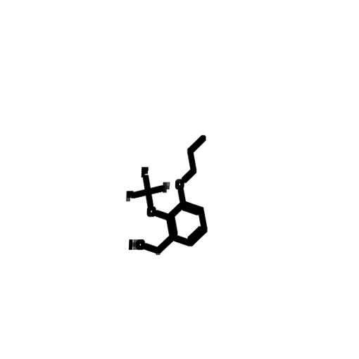 CCCOc1cccc([CH]O)c1OC(F)(F)F